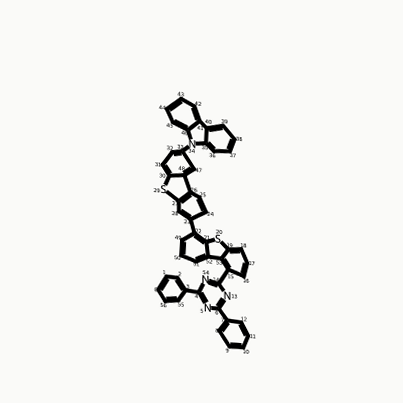 c1ccc(-c2nc(-c3ccccc3)nc(-c3cccc4sc5c(-c6ccc7c(c6)sc6ccc(-n8c9ccccc9c9ccccc98)cc67)cccc5c34)n2)cc1